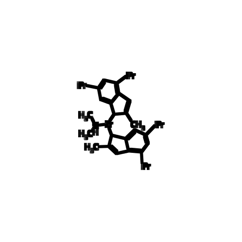 CC1=Cc2c(C(C)C)cc(C(C)C)cc2[CH]1[Zr]([CH]1C(C)=Cc2c(C(C)C)cc(C(C)C)cc21)[SiH](C)C